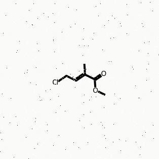 COC(=O)C(C)=CCCl